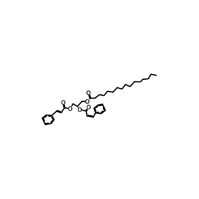 CCCCCCCCCCCCCCCC(=O)OCC(COC(=O)/C=C/c1ccccc1)OC(=O)/C=C\c1ccccc1